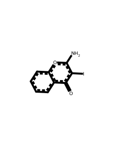 Nc1oc2ccccc2c(=O)c1I